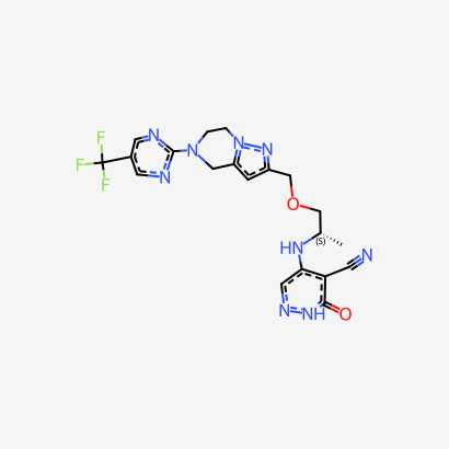 C[C@@H](COCc1cc2n(n1)CCN(c1ncc(C(F)(F)F)cn1)C2)Nc1cn[nH]c(=O)c1C#N